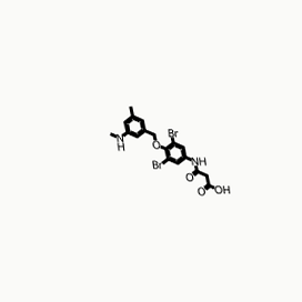 CNc1cc(C)cc(COc2c(Br)cc(NC(=O)CC(=O)O)cc2Br)c1